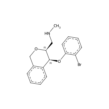 CNC[C@@H]1OCc2ccccc2[C@@H]1Oc1ccccc1Br